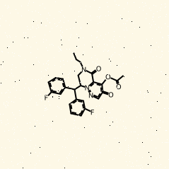 CCCN1CC(C(c2cccc(F)c2)c2cccc(F)c2)n2ncc(=O)c(OC(C)=O)c2C1=O